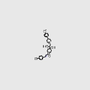 COc1ccc(C2CCN(CC(O)C3(O)CCN(C(=O)/C=C/c4ccc(Cl)cc4)CC3)CC2)cc1